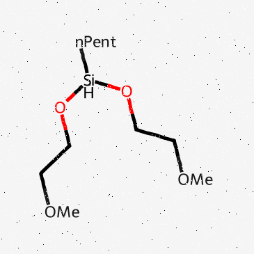 CCCCC[SiH](OCCOC)OCCOC